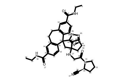 CCNC(=O)c1ccc2c(c1)CCc1cc(C(=O)NCC)ccc1C2(CC1(NCC(=O)N2CCC[C@H]2C#N)CCCC1)c1nnn[nH]1